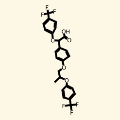 CC(COc1ccc(C(Oc2ccc(C(F)(F)F)cc2)C(=O)O)cc1)Oc1ccc(C(F)(F)F)cc1